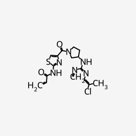 C=CC(=O)Nc1nc(C(=O)N2CC[C@@H](N/C(N=C)=N/C=C(\C)Cl)C2)cs1